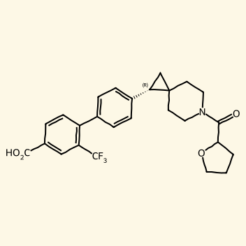 O=C(O)c1ccc(-c2ccc([C@@H]3CC34CCN(C(=O)C3CCCO3)CC4)cc2)c(C(F)(F)F)c1